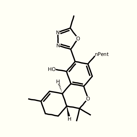 CCCCCc1cc2c(c(O)c1-c1nnc(C)o1)[C@@H]1C=C(C)CC[C@H]1C(C)(C)O2